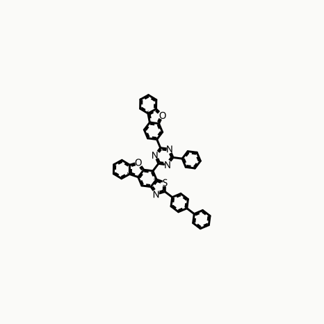 c1ccc(-c2ccc(-c3nc4cc5c(oc6ccccc65)c(-c5nc(-c6ccccc6)nc(-c6ccc7c(c6)oc6ccccc67)n5)c4s3)cc2)cc1